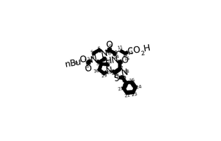 CCCCOC(=O)N1CCN(C(=O)[C@H](CCC(=O)O)NC(=O)c2nc(-c3ccccc3)sc2N2CCCC2)CC1